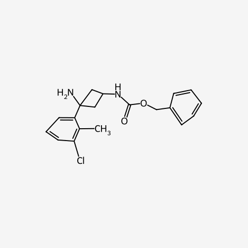 Cc1c(Cl)cccc1C1(N)CC(NC(=O)OCc2ccccc2)C1